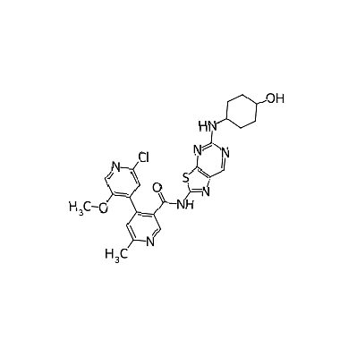 COc1cnc(Cl)cc1-c1cc(C)ncc1C(=O)Nc1nc2cnc(NC3CCC(O)CC3)nc2s1